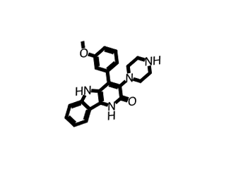 COc1cccc(-c2c(N3CCNCC3)c(=O)[nH]c3c2[nH]c2ccccc23)c1